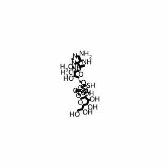 CN[C@]1(C)[C@H](O)[C@@H](COP(=O)(S)OP(=O)(O)OC2OC([C@@H](O)CO)C(O)C(O)C2O)O[C@H]1c1c[nH]c2c(N)ncnc12